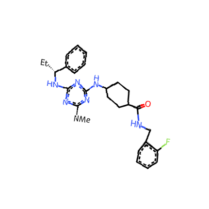 CC[C@@H](Nc1nc(NC)nc(NC2CCC(C(=O)NCc3ccccc3F)CC2)n1)c1ccccc1